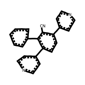 N#Cc1c(-c2ccncc2)ccc(-c2ccncc2)c1-c1ccccc1